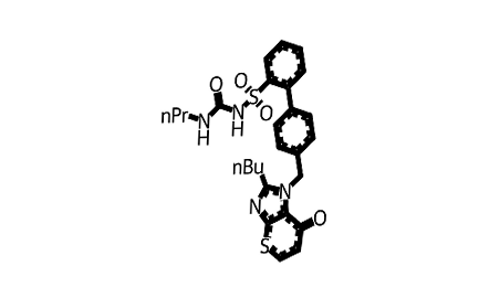 CCCCc1nc2sccc(=O)c2n1Cc1ccc(-c2ccccc2S(=O)(=O)NC(=O)NCCC)cc1